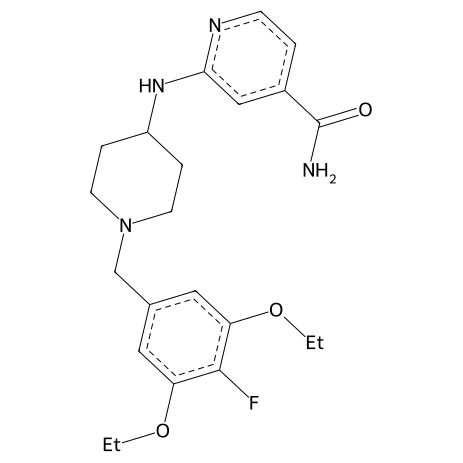 CCOc1cc(CN2CCC(Nc3cc(C(N)=O)ccn3)CC2)cc(OCC)c1F